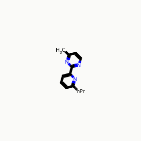 CCCc1cccc(-c2nccc(C)n2)n1